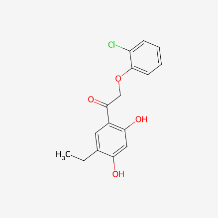 CCc1cc(C(=O)COc2ccccc2Cl)c(O)cc1O